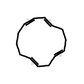 [CH]1/C=C/C/C=C/CCC/C=C\C=C\C1